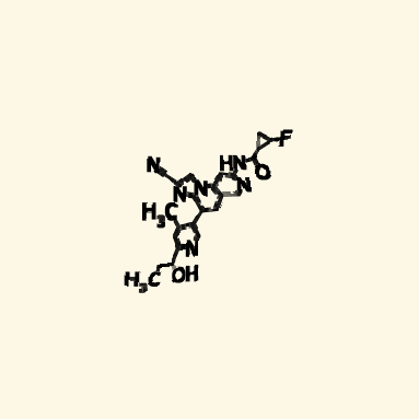 CC[C@@H](O)c1cc(C)c(-c2cc3cnc(NC(=O)[C@H]4C[C@H]4F)cc3n3cc(C#N)nc23)cn1